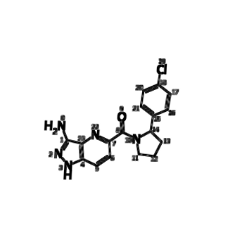 Nc1n[nH]c2ccc(C(=O)N3CCCC3c3ccc(Cl)cc3)nc12